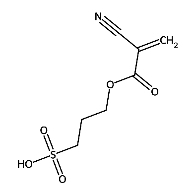 C=C(C#N)C(=O)OCCCS(=O)(=O)O